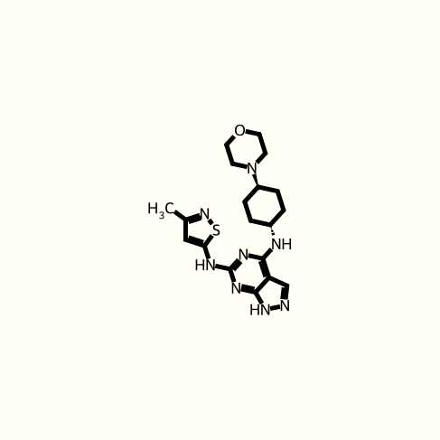 Cc1cc(Nc2nc(N[C@H]3CC[C@H](N4CCOCC4)CC3)c3cn[nH]c3n2)sn1